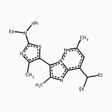 CCCN(CC)c1nc(C)c(-c2c(C)nc3c(C(CC)CC)cc(C)nn23)s1